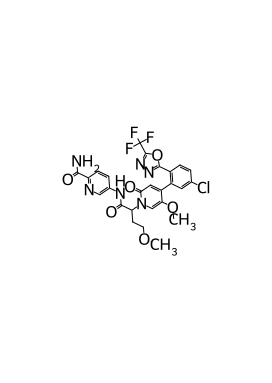 COCCC(C(=O)Nc1ccc(C(N)=O)nc1)n1cc(OC)c(-c2cc(Cl)ccc2-c2nnc(C(F)(F)F)o2)cc1=O